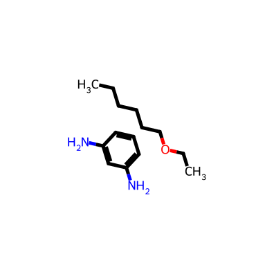 CCCCCCOCC.Nc1cccc(N)c1